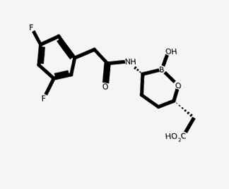 O=C(O)C[C@@H]1CC[C@H](NC(=O)Cc2cc(F)cc(F)c2)B(O)O1